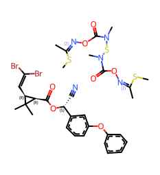 CC1(C)[C@H](C(=O)O[C@H](C#N)c2cccc(Oc3ccccc3)c2)[C@@H]1C=C(Br)Br.CS/C(C)=N\OC(=O)N(C)SN(C)C(=O)O/N=C(/C)SC